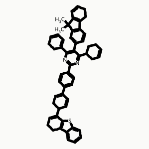 CC1(C)C2=C(CCC=C2)c2ccc(-c3c(C4=CC=CCC4)nc(-c4ccc(C5=CCC(C6=CCCc7c6sc6ccccc76)C=C5)cc4)nc3C3CC=CCC3)cc21